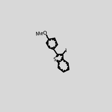 COc1ccc(-c2sc3ccccc3c2I)cc1